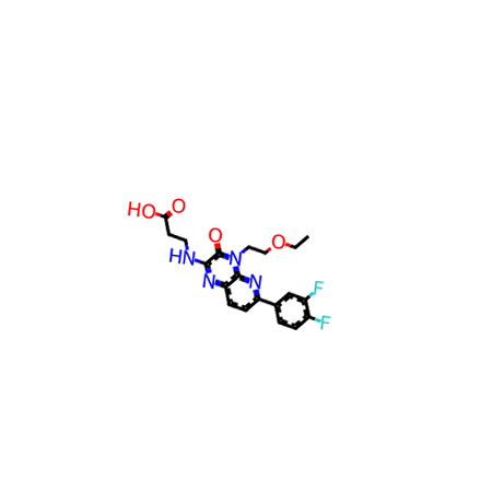 CCOCCn1c(=O)c(NCCC(=O)O)nc2ccc(-c3ccc(F)c(F)c3)nc21